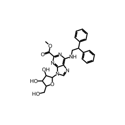 COC(=O)c1nc(NCC(c2ccccc2)c2ccccc2)c2ncn(C3OC(CO)C(O)C3O)c2n1